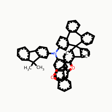 CC1(C)c2ccccc2-c2ccc(N(c3ccc4c(c3)C3(c5ccccc5-c5ccccc5-4)c4ccccc4-c4c3ccc3c4oc4ccccc43)c3ccc4c(c3)oc3ccccc34)cc21